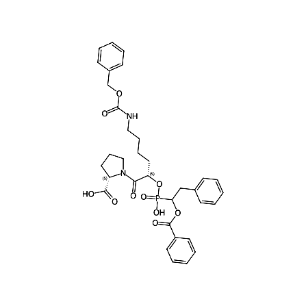 O=C(NCCCC[C@H](OP(=O)(O)C(Cc1ccccc1)OC(=O)c1ccccc1)C(=O)N1CCC[C@H]1C(=O)O)OCc1ccccc1